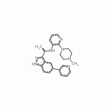 C=C(Nc1cccnc1N1CCN(C)CC1)c1n[nH]c2ccc(-c3cccnc3)cc12